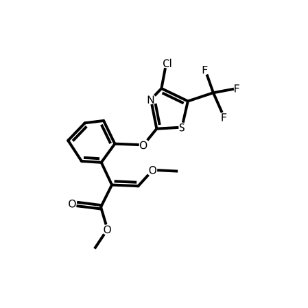 CO/C=C(/C(=O)OC)c1ccccc1Oc1nc(Cl)c(C(F)(F)F)s1